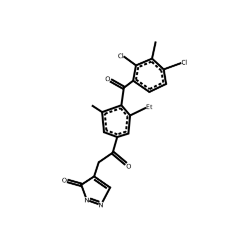 CCc1cc(C(=O)CC2=CN=NC2=O)cc(C)c1C(=O)c1ccc(Cl)c(C)c1Cl